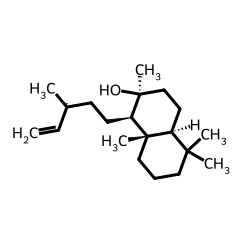 C=C[C](C)CC[C@@H]1[C@@]2(C)CCCC(C)(C)[C@@H]2CC[C@]1(C)O